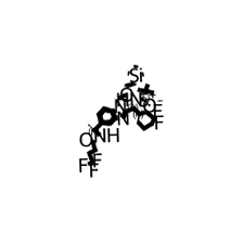 C[C@@H](NC(=O)CCC(F)(F)F)c1ccc2c(c1)nc([C@@H](N[S@+]([O-])C(C)(C)C)[C@@H]1CCCC(F)(F)C1)n2COCC[Si](C)(C)C